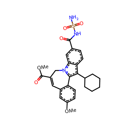 COC(=O)C1=Cc2cc(OC)ccc2-c2c(C3CCCCC3)c3ccc(C(=O)NS(N)(=O)=O)cc3n2C1